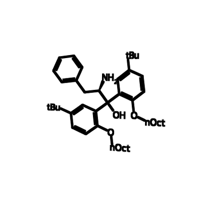 CCCCCCCCOc1ccc(C(C)(C)C)cc1C(O)(c1cc(C(C)(C)C)ccc1OCCCCCCCC)[C@H](N)Cc1ccccc1